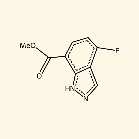 COC(=O)c1ccc(F)c2cn[nH]c12